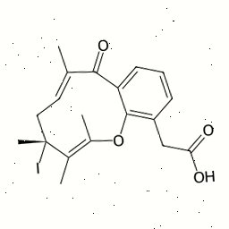 C/C1=C\C[C@@](C)(I)/C(C)=C(\C)Oc2c(CC(=O)O)cccc2C1=O